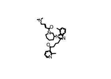 Cc1ncccc1C(=O)CCCc1nc2cccc(C)c2n1C1CCCCN(C(=O)/C=C/CN(C)C)C1